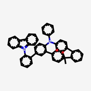 CC1(C)c2ccccc2-c2ccc(N(c3ccccc3)c3ccc(-c4ccccc4-n4c5ccccc5c5ccccc54)cc3-c3ccccc3)cc21